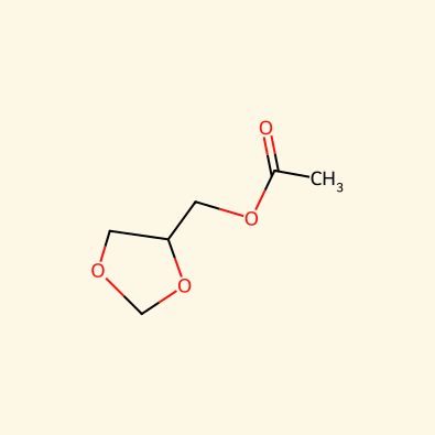 CC(=O)OCC1COCO1